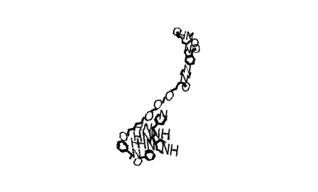 CNC(=O)C(CCC=O)N1Cc2cc(N3CCN(C(=O)CCCOCCOCCOCCCCCCOc4cccc(C(C)NC(=O)c5cccc(NC6(C(=N)NC(=N)c7ccncc7)CCNCC6)c5)c4)CC3)ccc2C1=O